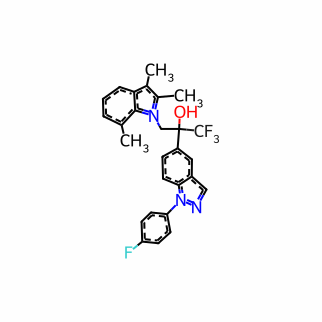 Cc1c(C)n(CC(O)(c2ccc3c(cnn3-c3ccc(F)cc3)c2)C(F)(F)F)c2c(C)cccc12